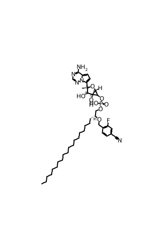 CCCCCCCCCCCCCCCCCCC[C@H](COP(=O)(O)OC1[C@H]2O[C@@](C)(c3ccc4c(N)ncnn34)[C@H](O)[C@@]12O)OCc1ccc(C#N)cc1F